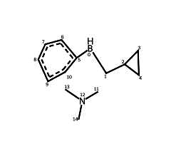 B(CC1CC1)c1ccccc1.CN(C)C